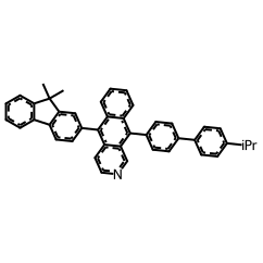 CC(C)c1ccc(-c2ccc(-c3c4ccccc4c(-c4ccc5c(c4)C(C)(C)c4ccccc4-5)c4ccncc34)cc2)cc1